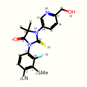 CSc1c(C#N)ccc(N2C(=O)C(C)(C)N(c3ccc(CO)nc3)C2=S)c1F